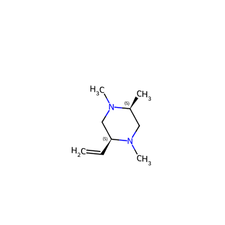 C=C[C@H]1CN(C)[C@@H](C)CN1C